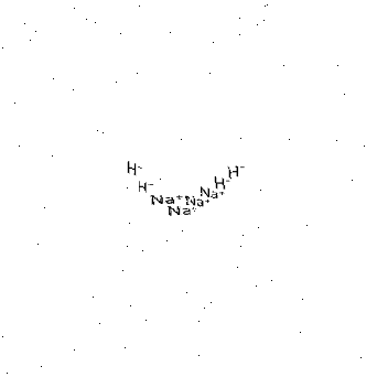 [H-].[H-].[H-].[H-].[Na+].[Na+].[Na+].[Na+]